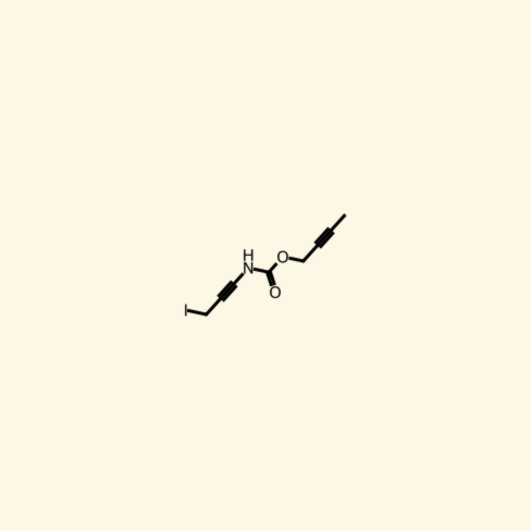 CC#CCOC(=O)NC#CCI